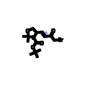 CC(C)(C)OC(=O)N1C(/C=C/C(=O)CBr)COC1(C)C